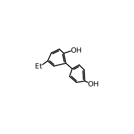 CCc1ccc(O)c(-c2ccc(O)cc2)c1